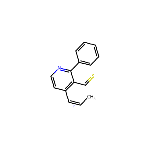 C/C=C\c1ccnc(-c2ccccc2)c1C=S